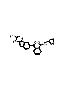 O=C(O)Nc1nc2ccc(C(=O)c3ccccc3C(=O)NCc3ccsc3)cc2[nH]1